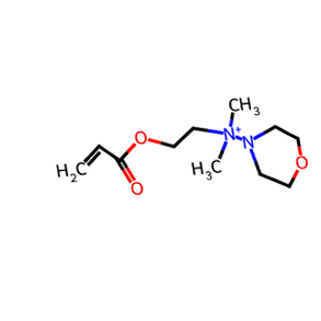 C=CC(=O)OCC[N+](C)(C)N1CCOCC1